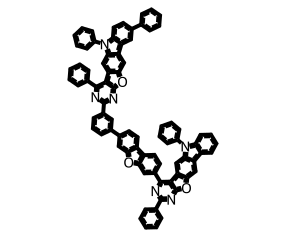 c1ccc(-c2ccc3c(c2)c2cc4oc5nc(-c6cccc(-c7ccc8c(c7)oc7cc(-c9nc(-c%10ccccc%10)nc%10oc%11cc%12c%13ccccc%13n(-c%13ccccc%13)c%12cc%11c9%10)ccc78)c6)nc(-c6ccccc6)c5c4cc2n3-c2ccccc2)cc1